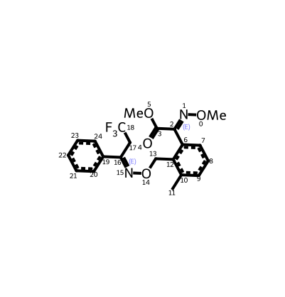 CO/N=C(/C(=O)OC)c1cccc(C)c1CO/N=C(\CC(F)(F)F)c1ccccc1